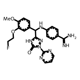 COc1ccc(C(Nc2ccc(C(=N)N)cc2)c2nn(-c3ncccn3)c(=O)[nH]2)cc1OCCF